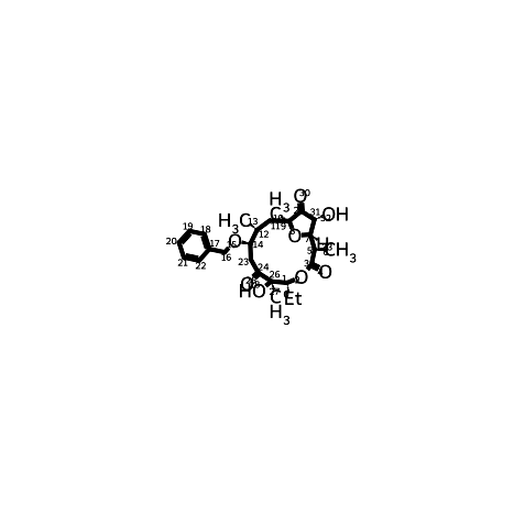 CC[C@H]1OC(=O)[C@H](C)[C@H]2O[C@@](C)(C[C@@H](C)[C@H](OCc3ccccc3)CC(=O)[C@]1(C)O)C(=O)[C@@H]2O